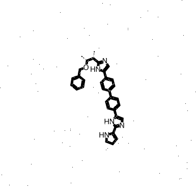 C[C@H](c1ncc(-c2ccc(-c3ccc(-c4cnc(C5=CCCN5)[nH]4)cc3)cc2)[nH]1)[C@@H](C)OCc1ccccc1